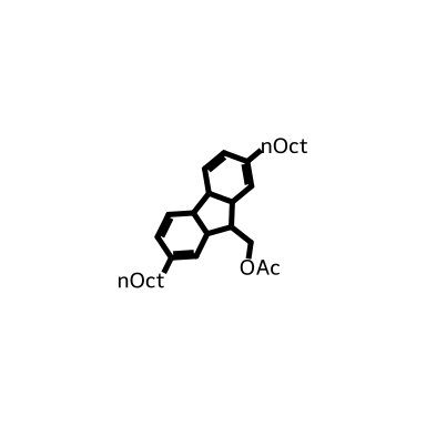 CCCCCCCCC1=CC2C(C=C1)C1C=CC(CCCCCCCC)=CC1C2COC(C)=O